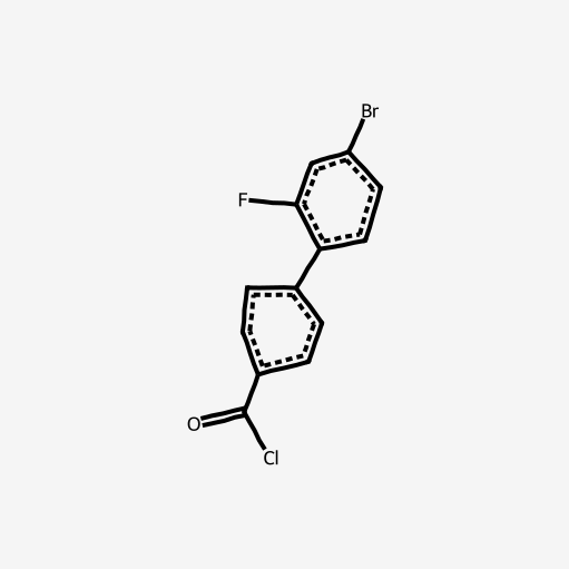 O=C(Cl)c1ccc(-c2ccc(Br)cc2F)cc1